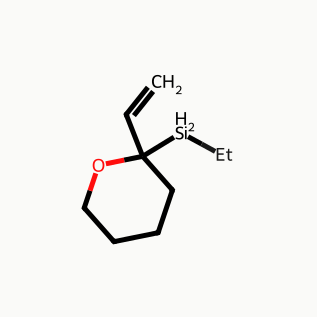 C=CC1([SiH2]CC)CCCCO1